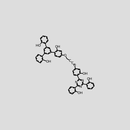 Oc1ccccc1-c1cc(-c2ccccc2O)cc(-c2ccc(OCCCOc3ccc(-c4nc(-c5ccccc5O)nc(-c5ccccc5O)n4)c(O)c3)cc2O)c1